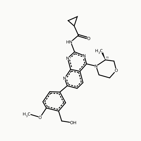 COc1ccc(-c2ccc3c(N4CCOC[C@@H]4C)nc(NC(=O)C4CC4)nc3n2)cc1CO